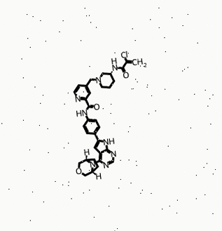 C=C(Cl)C(=O)N[C@@H]1CCCN(Cc2ccnc(C(=O)Nc3ccc(-c4cc5c(N6[C@@H]7CC[C@H]6COC7)ncnc5[nH]4)cc3)c2)C1